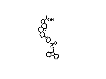 CC(O)[C@H]1CCC2C3CCC4CC[C@@H](N5CCN(C(=O)OCC6c7ccccc7-c7ccccc76)CC5)C[C@]4(C)C3CC[C@@]21C